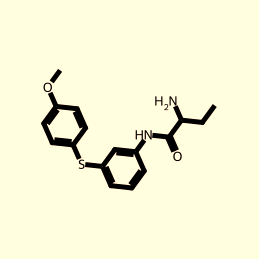 CCC(N)C(=O)Nc1cccc(Sc2ccc(OC)cc2)c1